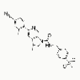 Cc1cc(C#N)ccc1-c1cc2c(cn1)N(C(=O)NCc1ccc(S(C)(=O)=O)cc1)CC2(C)C